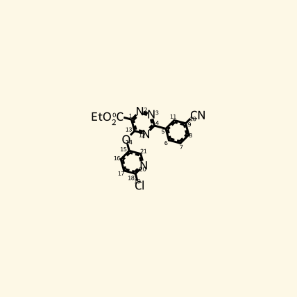 CCOC(=O)c1nnc(-c2cccc(C#N)c2)nc1Oc1ccc(Cl)nc1